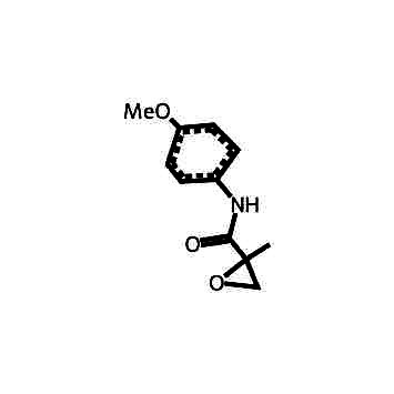 COc1ccc(NC(=O)C2(C)CO2)cc1